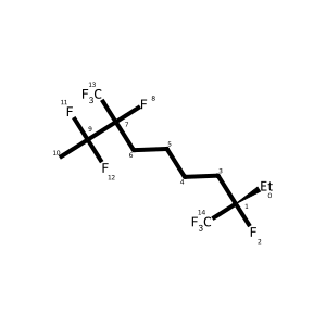 CC[C@](F)(CCCCC(F)(C(C)(F)F)C(F)(F)F)C(F)(F)F